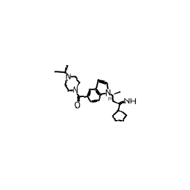 CC(C)N1CCN(C(=O)c2ccc3c(ccn3[C@@H](C)CC(=N)C3CCCC3)c2)CC1